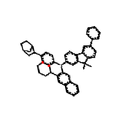 CC1(C)c2ccc(-c3ccccc3)cc2-c2ccc(N(c3ccc(C4CC5CCC4C5)cc3)c3cc4ccccc4cc3C3CCCCC3)cc21